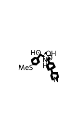 CSc1ccc([C@H](O)[C@H](CO)NC(=O)c2ccc(-c3ccncc3)cc2)cc1